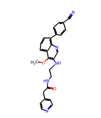 COc1c(NCCNC(=O)Cc2ccncc2)cnc2c(-c3ccc(C#N)cc3)cccc12